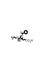 CN(C)CCOC(=O)C(CSC(=S)c1ccccc1)C(C)(C#N)CCC(=O)O